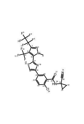 Cn1nc(C(F)(F)C(F)(F)F)c(C(F)(F)F)c1-c1nc(-c2ccc(Cl)c(C(=O)NC3(C#N)CC3)c2)cs1